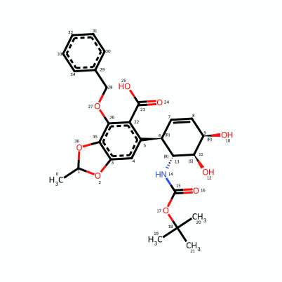 CC1Oc2cc([C@H]3C=C[C@@H](O)[C@@H](O)[C@@H]3NC(=O)OC(C)(C)C)c(C(=O)O)c(OCc3ccccc3)c2O1